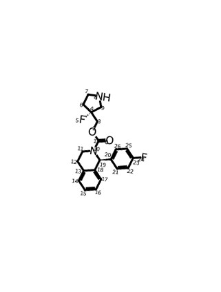 O=C(OC[C@@]1(F)CCNC1)N1CCc2ccccc2[C@@H]1c1ccc(F)cc1